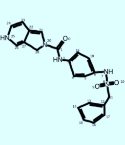 O=C(Nc1ccc(NS(=O)(=O)Cc2ccccc2)cc1)N1C=C2C=CNC=C2C1